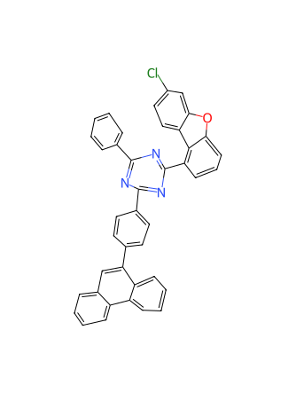 Clc1ccc2c(c1)oc1cccc(-c3nc(-c4ccccc4)nc(-c4ccc(-c5cc6ccccc6c6ccccc56)cc4)n3)c12